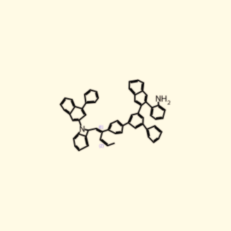 C/C=C\C(=C/C1c2ccccc2N1c1cc(-c2ccccc2)c2ccccc2c1)c1ccc(-c2cc(-c3ccccc3)cc(-c3cc4ccccc4cc3-c3ccccc3N)c2)cc1